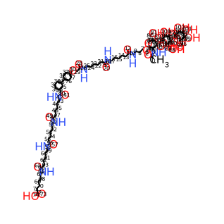 CC(=O)N[C@H]1[C@H](OCCCNC(=O)CCCCCNC(=O)CCCCCNC(=O)COc2ccc(-c3cccc(C(=O)NCCCCCC(=O)NCCCCCC(=O)NCCCCCC(=O)NCCCCCC(=O)O)c3)cc2)O[C@H](CO)[C@@H](O[C@@H]2O[C@H](CO)[C@H](O)[C@H](O[C@H]3O[C@H](CO)[C@H](O)[C@H](O)[C@H]3O)[C@H]2O)[C@@H]1O